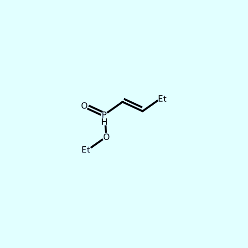 CCC=C[PH](=O)OCC